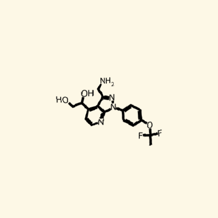 CC(F)(F)Oc1ccc(-n2nc(CN)c3c(C(O)CO)ccnc32)cc1